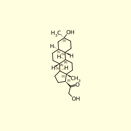 C[C@]1(O)CC[C@H]2[C@@H](CC[C@@H]3[C@@H]2CC[C@]2(C)[C@@H](C(=O)CO)CC[C@@H]32)C1